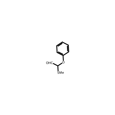 CSC(C=O)Oc1cc[c]cc1